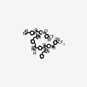 Cn1cncc1-c1ccc(-n2c(=O)c3c(n4ncc(Cc5cccc(Cc6nn[nH]c6-c6ccc(-n7c(=O)c8c(n9ncc(Cc%10ccccc%10)c79)CN(C(=O)c7ccc(Br)c(C(F)(F)F)c7)CC8)cc6)c5)c24)CN(C(=O)c2ccc(Br)c(C(F)(F)F)c2)CC3)cc1